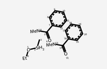 CCO[SiH2]C.CNC(=O)c1ccccc1.CNC(=O)c1ccccc1